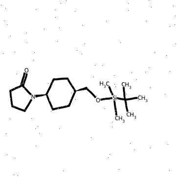 CC(C)(C)[Si](C)(C)OC[C@H]1CC[C@@H](N2CCCC2=O)CC1